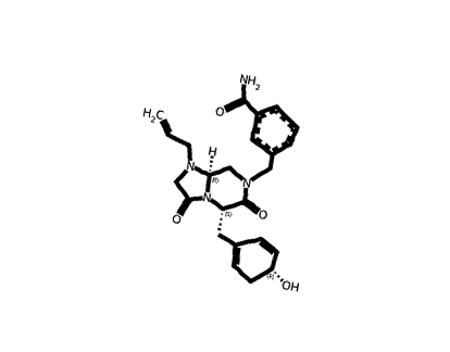 C=CCN1CC(=O)N2[C@@H]1CN(Cc1cccc(C(N)=O)c1)C(=O)[C@@H]2CC1=CC[C@@H](O)C=C1